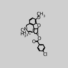 COc1ccc2c3c1OC1C[C@@H](OC(=O)c4ccc(Cl)cc4)CC(C)[C@@]31CCN(C)C2